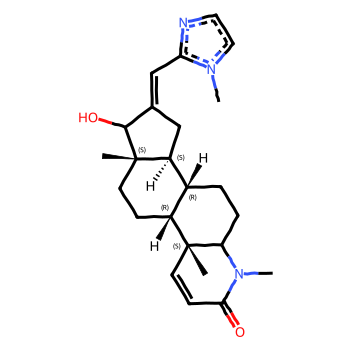 CN1C(=O)C=C[C@@]2(C)C1CC[C@@H]1[C@H]2CC[C@]2(C)C(O)C(=Cc3nccn3C)C[C@@H]12